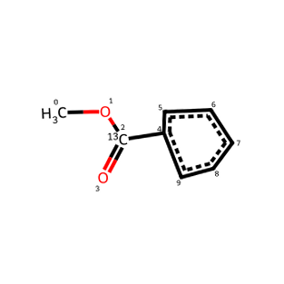 CO[13C](=O)c1ccccc1